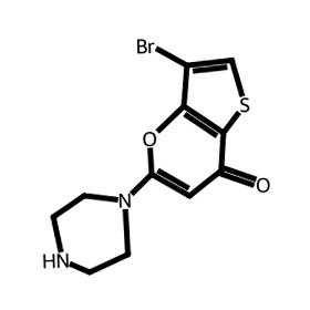 O=c1cc(N2CCNCC2)oc2c(Br)csc12